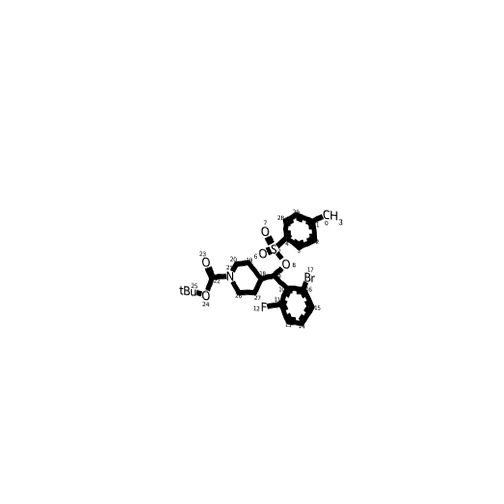 Cc1ccc(S(=O)(=O)OC(c2c(F)cccc2Br)C2CCN(C(=O)OC(C)(C)C)CC2)cc1